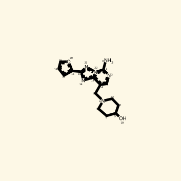 Nc1ncc(CN2CCC(O)CC2)c2nc(-c3ccco3)nn12